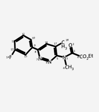 CCOC(=O)C(=O)N(C)c1nnc(-c2cccc(F)c2)cc1C